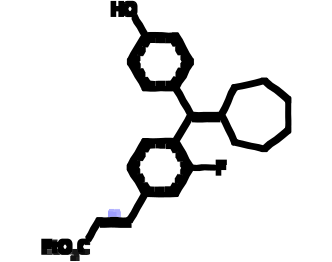 CCOC(=O)/C=C/c1ccc(C(=C2CCCCCC2)c2ccc(O)cc2)c(F)c1